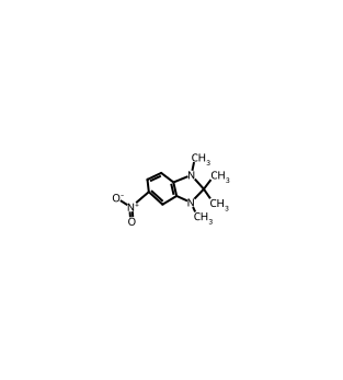 CN1c2ccc([N+](=O)[O-])cc2N(C)C1(C)C